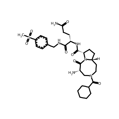 CS(=O)(=O)c1ccc(CNC(=O)[C@H](CCC(N)=O)NC(=O)[C@@H]2CC[C@@H]3CCN(C(=O)C4CCCCC4)C[C@H](N)C(=O)N32)cc1